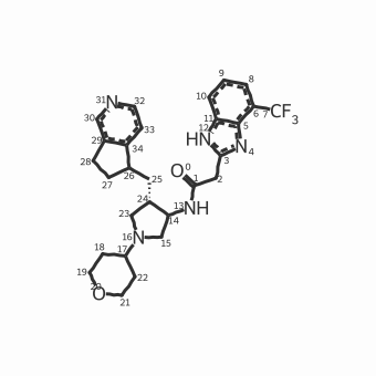 O=C(Cc1nc2c(C(F)(F)F)cccc2[nH]1)NC1CN(C2CCOCC2)C[C@@H]1CC1CCc2cnccc21